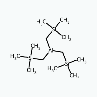 C[Si](C)(C)[CH2][Al]([CH2][Si](C)(C)C)[CH2][Si](C)(C)C